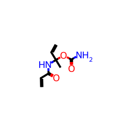 C=CC(=O)NC(C)(C=C)OC(N)=O